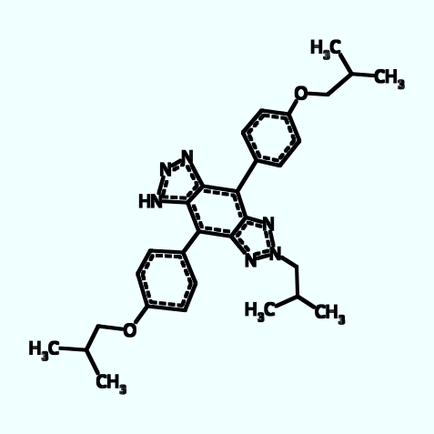 CC(C)COc1ccc(-c2c3nn(CC(C)C)nc3c(-c3ccc(OCC(C)C)cc3)c3[nH]nnc23)cc1